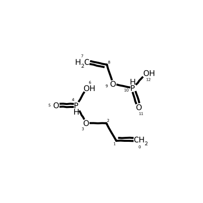 C=CCO[PH](=O)O.C=CO[PH](=O)O